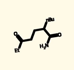 CCCCC(CCC(=O)CC)C(N)=O